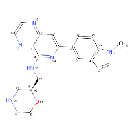 Cn1ccc2cc(-c3cc4nccnc4c(NC[C@@H]4CNCCO4)n3)ccc21